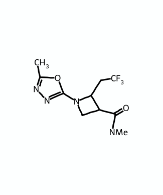 CNC(=O)C1CN(c2nnc(C)o2)C1CC(F)(F)F